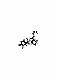 NCCc1cn(S(=O)(=O)c2ccc(F)c(F)c2)c2ncccc12